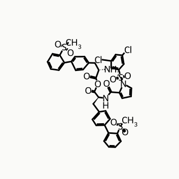 CS(=O)(=O)c1ccccc1-c1ccc(C[C@H](NC(=O)c2cccn2S(=O)(=O)c2cc(Cl)cc(Cl)c2)C(=O)OC(=O)[C@@H](N)Cc2ccc(-c3ccccc3S(C)(=O)=O)cc2)cc1